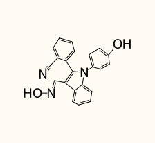 N#Cc1ccccc1-c1c(C=NO)c2ccccc2n1-c1ccc(O)cc1